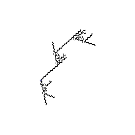 CCCCCCCC(CCCCCCC)OC(=O)CN(CC(=O)OC/C=C\CCCCCCCCCCCCCC(CCCCCCC)OC(=O)CN(CC(=O)OC(CCCCCCC)CCCCCCCCCCCCCCC(CCCCCCC)OC(=O)CN(CC(=O)OC(CCCCCCC)CCCCCCC)C(=O)SCCCN(CC)CC)C(=O)SCCCN(C)C)C(=O)SCCCN(C)C